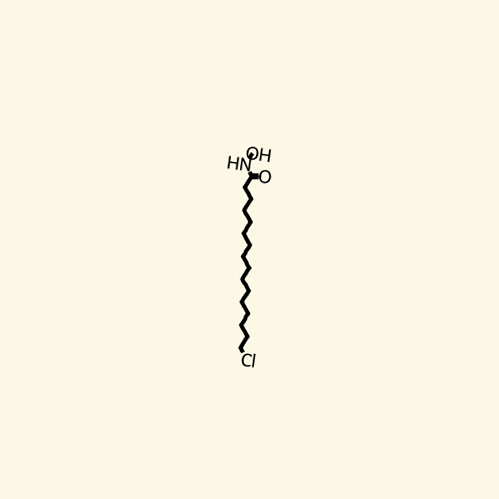 O=C(CCCCCCCCCCCCCCCCl)NO